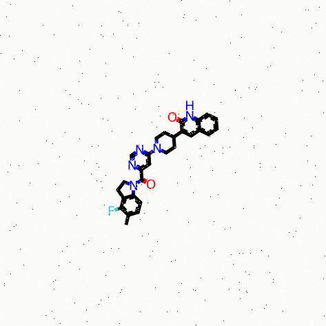 Cc1ccc2c(c1F)CCN2C(=O)c1cc(N2CCC(c3cc4ccccc4[nH]c3=O)CC2)ncn1